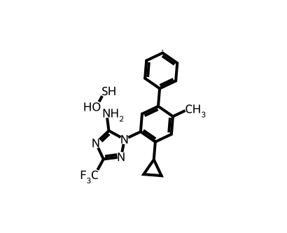 Cc1cc(C2CC2)c(-n2nc(C(F)(F)F)nc2N)cc1-c1cc[c]cc1.OS